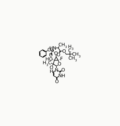 CC(NP(=O)(Oc1ccccc1)OC1[C@]2(O)[C@@](C)(O)[C@H](n3ccc(=O)[nH]c3=O)O[C@]12F)C(=O)OCC(C)(C)C